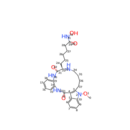 COn1c2c(c3ccccc31)C(=O)Nc1ccccc1NC(=O)[C@@H](CCCCCC(=O)NO)NCCCC2